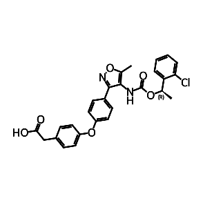 Cc1onc(-c2ccc(Oc3ccc(CC(=O)O)cc3)cc2)c1NC(=O)O[C@H](C)c1ccccc1Cl